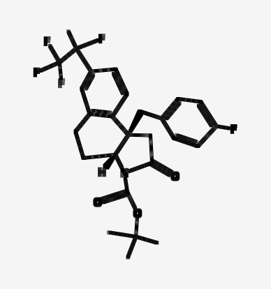 CC(C)(C)OC(=O)N1C(=O)C[C@@]2(Cc3ccc(F)cc3)c3ccc(C(C)(F)C(F)(F)F)cc3CC[C@@H]12